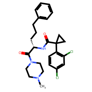 CN1CCN(C(=O)[C@H](CCCc2ccccc2)NC(=O)C2(c3ccc(Cl)cc3Cl)CC2)CC1